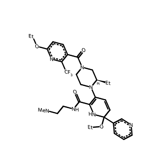 CCOc1ccc(C(=O)N2CCN(C3=C(C(=O)NCCNC)NC(OCC)(c4cccnc4)C=C3)[C@H](CC)C2)c(C(F)(F)F)n1